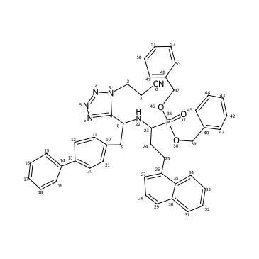 N#CCCn1nnnc1C(Cc1ccc(-c2ccccc2)cc1)NC(CCc1cccc2ccccc12)P(=O)(OCc1ccccc1)OCc1ccccc1